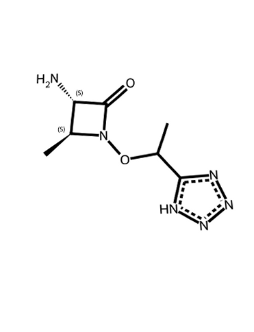 CC(ON1C(=O)[C@@H](N)[C@@H]1C)c1nnn[nH]1